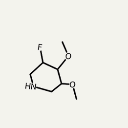 COC1CNCC(F)C1OC